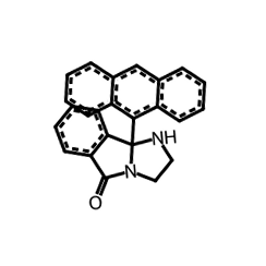 O=C1c2ccccc2C2(c3c4ccccc4cc4ccccc34)NCCN12